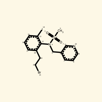 CS(=O)(=O)N(Cc1cccnc1)c1c(I)cccc1CCBr